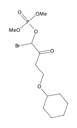 COP(=O)(OC)OC(Br)C(=O)CCOC1CCCCC1